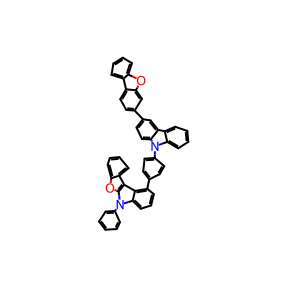 c1ccc(-n2c3cccc(-c4ccc(-n5c6ccccc6c6cc(-c7ccc8c(c7)oc7ccccc78)ccc65)cc4)c3c3c4ccccc4oc32)cc1